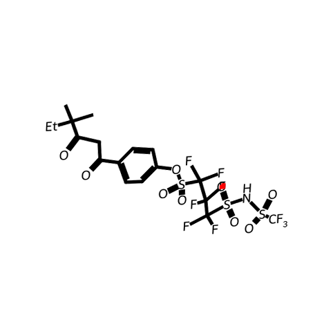 CCC(C)(C)C(=O)CC(=O)c1ccc(OS(=O)(=O)C(F)(F)C(F)(F)C(F)(F)S(=O)(=O)NS(=O)(=O)C(F)(F)F)cc1